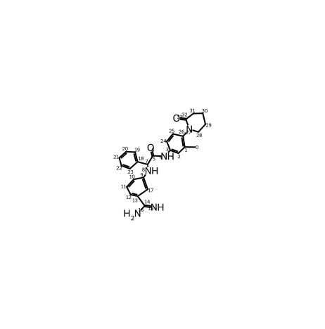 Cc1cc(NC(=O)[C@@H](Nc2cccc(C(=N)N)c2)c2ccccc2)ccc1N1CCCCC1=O